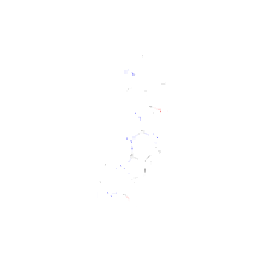 O=C1NCCn2c1cc1cnc(NC(=O)C3CCCNC3)nc12